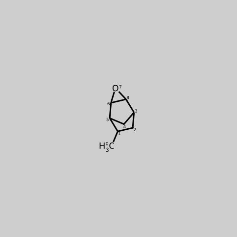 CC1CC2CC1C1OC21